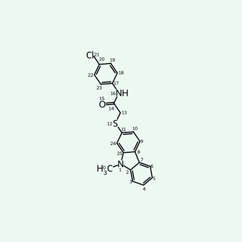 Cn1c2ccccc2c2ccc(SCC(=O)Nc3ccc(Cl)cc3)cc21